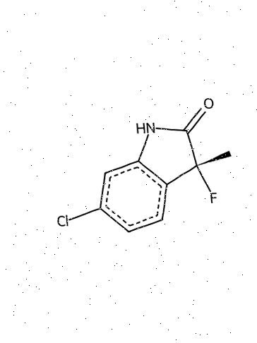 C[C@]1(F)C(=O)Nc2cc(Cl)ccc21